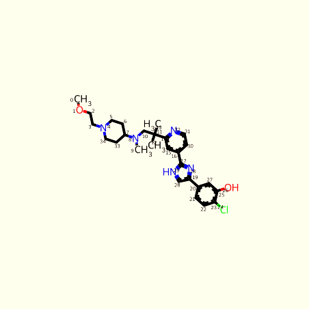 COCCN1CCC(N(C)CC(C)(C)c2cc(-c3nc(-c4ccc(Cl)c(O)c4)c[nH]3)ccn2)CC1